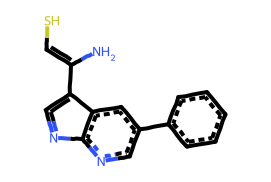 N/C(=C\S)C1=C=Nc2ncc(-c3ccccc3)cc21